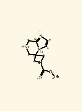 CC(C)(C)OC(=O)N1CC2(CNCc3nccn32)C1